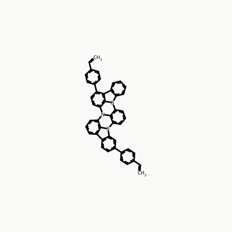 C=Cc1ccc(-c2ccc3c(c2)B2c4cccc5c4N(c4cccc-3c42)c2ccc(-c3ccc(C=C)cc3)c3c2B5c2ccccc2-3)cc1